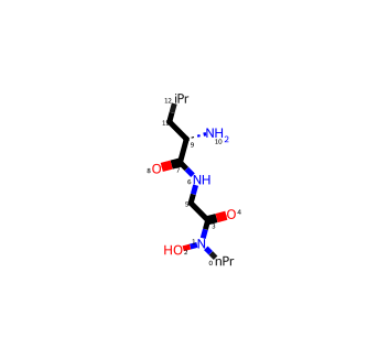 CCCN(O)C(=O)CNC(=O)[C@@H](N)CC(C)C